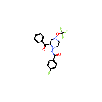 O=C(NN1CCN(OC(F)(F)F)CC1C(=O)c1ccccc1)c1ccc(F)cc1